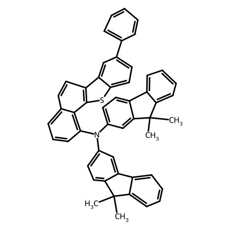 CC1(C)c2ccccc2-c2cc(N(c3ccc4c(c3)C(C)(C)c3ccccc3-4)c3cccc4ccc5c6cc(-c7ccccc7)ccc6sc5c34)ccc21